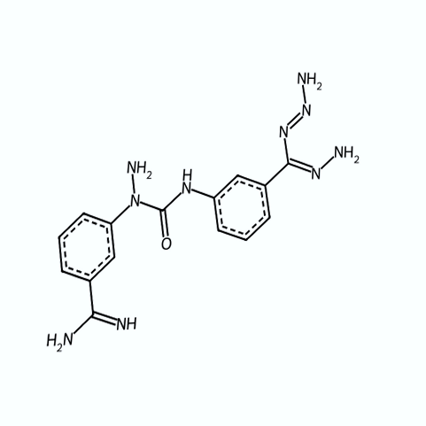 N=C(N)c1cccc(N(N)C(=O)Nc2cccc(C(N=NN)=NN)c2)c1